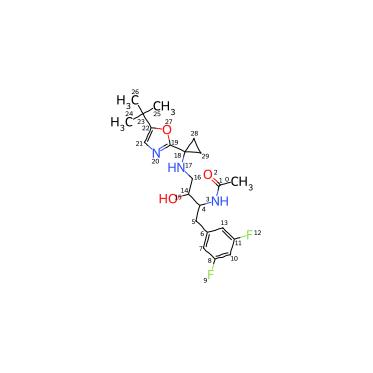 CC(=O)NC(Cc1cc(F)cc(F)c1)C(O)CNC1(c2ncc(C(C)(C)C)o2)CC1